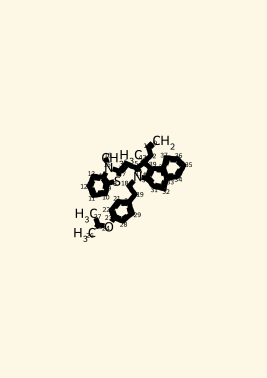 C=CCC1(C)C(/C=C2\Sc3ccccc3N2C)=[N+](CCc2ccc(OC(C)C)cc2)c2ccc3ccccc3c21